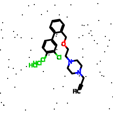 C#CCN1CCN(CCOCc2ccccc2-c2ccc(Cl)c(Cl)c2)CC1.Cl.Cl